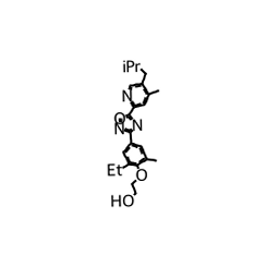 CCc1cc(-c2noc(-c3cc(C)c(CC(C)C)cn3)n2)cc(C)c1OCCO